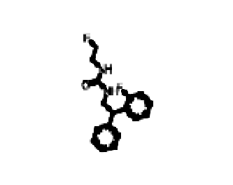 O=C(NCCF)NCC(c1ccccc1)c1ccccc1F